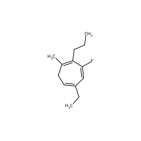 CCCC1=C(C)CC=C(CC)C=C1F